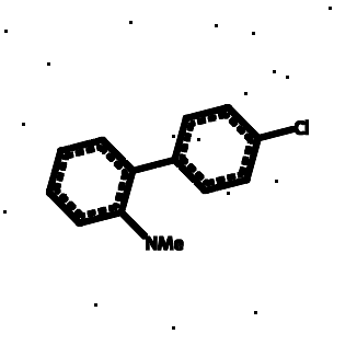 CNc1ccccc1-c1ccc(Cl)cc1